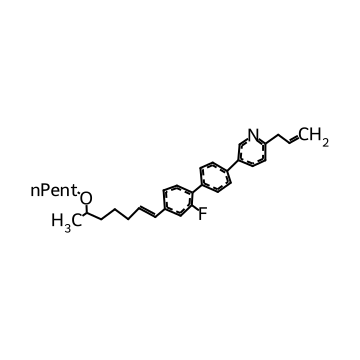 C=CCc1ccc(-c2ccc(-c3ccc(C=CCCCC(C)OCCCCC)cc3F)cc2)cn1